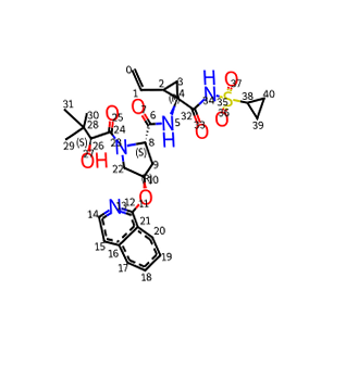 C=CC1C[C@]1(NC(=O)[C@@H]1C[C@@H](Oc2nccc3ccccc23)CN1C(=O)[C@@H](O)C(C)(C)C)C(=O)NS(=O)(=O)C1CC1